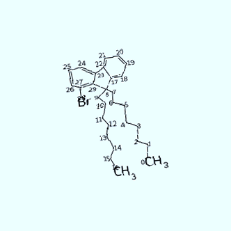 CCCCCCCCC1(CCCCCCCC)c2ccccc2-c2cccc(Br)c21